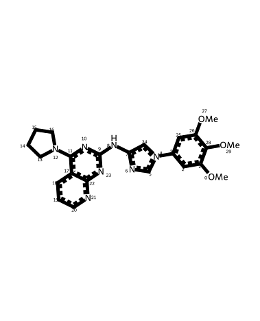 COc1cc(-n2cnc(Nc3nc(N4CCCC4)c4cccnc4n3)c2)cc(OC)c1OC